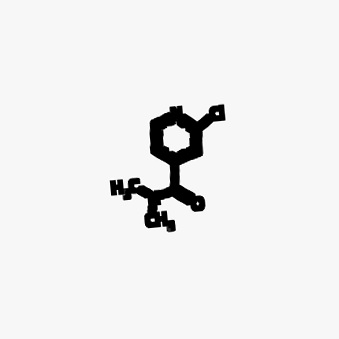 CN(C)C(=O)c1ccnc(Cl)c1